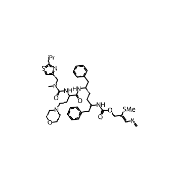 C=N/C=C(/COC(=O)NC(CCC(Cc1ccccc1)NC(=O)C(CCN1CCOCC1)NC(=O)N(C)Cc1csc(C(C)C)n1)Cc1ccccc1)SC